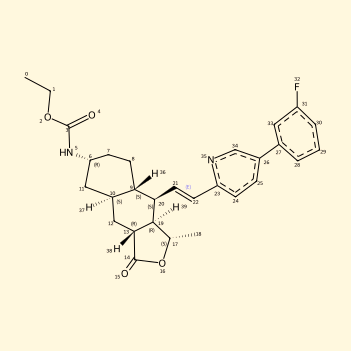 CCOC(=O)N[C@@H]1CC[C@H]2[C@H](C1)C[C@H]1C(=O)O[C@@H](C)[C@@H]1[C@@H]2/C=C/c1ccc(-c2cccc(F)c2)cn1